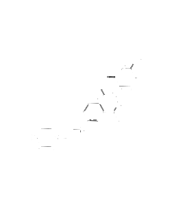 Cc1nn(C2CCC(=O)NC2=O)c(=O)c2ccc(NCCN3CCNCC3)cc12